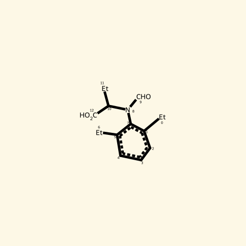 CCc1cccc(CC)c1N(C=O)C(CC)C(=O)O